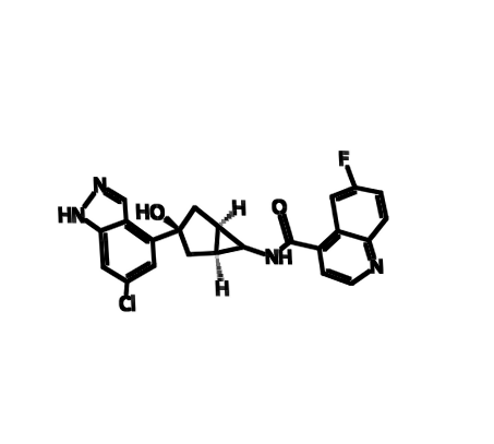 O=C(NC1[C@H]2C[C@](O)(c3cc(Cl)cc4[nH]ncc34)C[C@@H]12)c1ccnc2ccc(F)cc12